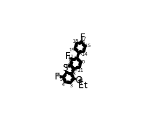 CCOc1ccc(F)c2sc3c(F)c(-c4ccc(F)cc4)ccc3c12